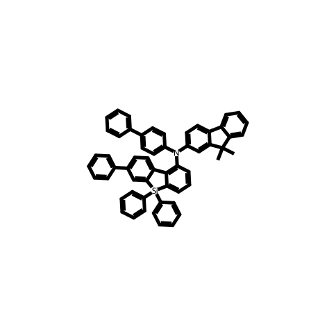 CC1(C)c2ccccc2-c2ccc(N(c3ccc(-c4ccccc4)cc3)c3cccc4c3-c3ccc(-c5ccccc5)cc3[Si]4(c3ccccc3)c3ccccc3)cc21